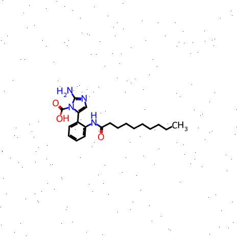 CCCCCCCCCC(=O)Nc1ccccc1-c1cnc(N)n1C(=O)O